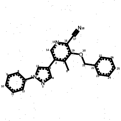 Cc1c(-c2cnn(-c3ccccc3)c2)cnc(C#N)c1OCc1ccccc1